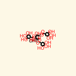 O=C[C@]1(OC(=O)c2cc(O)c(O)c(O)c2)O[C@H](COC(=O)c2cc(O)c(O)c(O)c2)[C@@H](O)[C@H](OC(=O)c2cc(O)c(O)c(O)c2)[C@H]1O